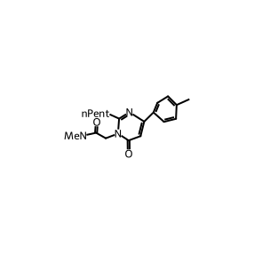 CCCCCc1nc(-c2ccc(C)cc2)cc(=O)n1CC(=O)NC